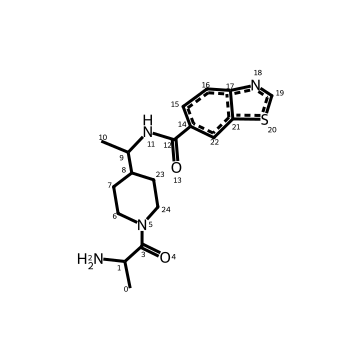 CC(N)C(=O)N1CCC(C(C)NC(=O)c2ccc3ncsc3c2)CC1